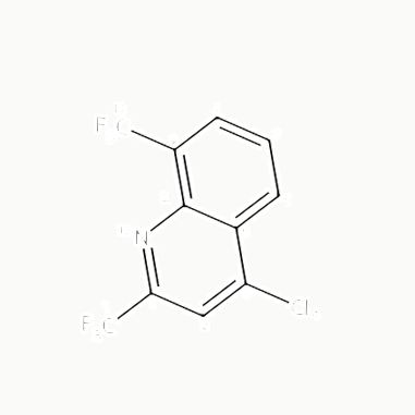 FC(F)(F)c1cc(Cl)c2cccc(C(F)(F)F)c2n1